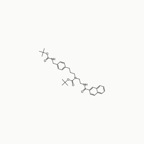 CC(C)(C)OC(=O)NCc1ccc(CCCN(CCNC(=O)c2ccc3ccccc3c2)C(=O)OC(C)(C)C)cc1